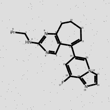 CC(C)CNc1ncc2c(n1)CCCC=C2c1cc(F)c2nccn2c1